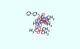 CC(OC(=O)N[C@@H](C)P(=O)(C[C@@H](Cc1ccc(-c2ccccc2)cc1)C(N)=O)OC(C)OC(=O)C(C)C)OC(=O)C(C)C